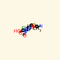 C[C@]1(c2ccc(C#N)cc2F)Oc2cccc(N3CCN(Cc4nc5c(Cl)cc(C(=O)O)cc5n4C[C@@H]4CCO4)[C@@H]4CC[C@@H]43)c2O1